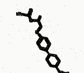 CCCCC[C@H]1CC[C@H](c2ccc(OCC(C)OC(=O)CCC)cc2)CC1